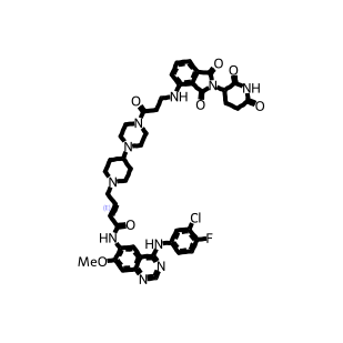 COc1cc2ncnc(Nc3ccc(F)c(Cl)c3)c2cc1NC(=O)/C=C/CN1CCC(N2CCN(C(=O)CCNc3cccc4c3C(=O)N(C3CCC(=O)NC3=O)C4=O)CC2)CC1